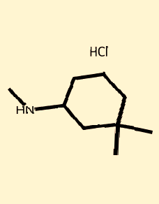 CNC1CCCC(C)(C)C1.Cl